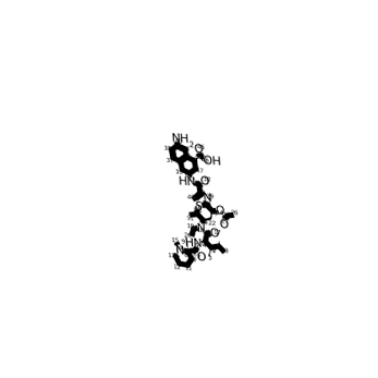 CC[C@H](C)[C@H](NC(=O)[C@@]1(C)CCCCN1C)C(=O)N(CC)[C@H](C[C@@H](OC(C)=O)c1nc(C(=O)N[C@H]2Cc3ccc(N)cc3[C@H](C(=O)O)C2)cs1)C(C)C